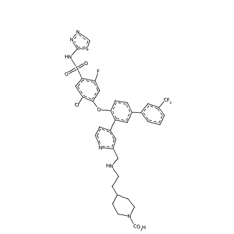 O=C(O)N1CCC(CCNCc2cc(-c3cc(-c4cccc(C(F)(F)F)c4)ccc3Oc3cc(F)c(S(=O)(=O)Nc4nncs4)cc3Cl)ccn2)CC1